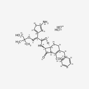 CC(C)(ON=C(C(=O)N[C@@H]1C(=O)N2C(C(=O)[O-])=C(C[n+]3ccccc3)CS[C@H]12)c1csc(N)n1)C(=O)O.Cl.Cl